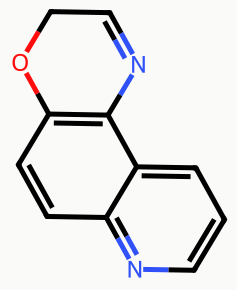 C1=Nc2c(ccc3ncccc23)OC1